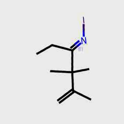 C=C(C)C(C)(C)/C(CC)=N/I